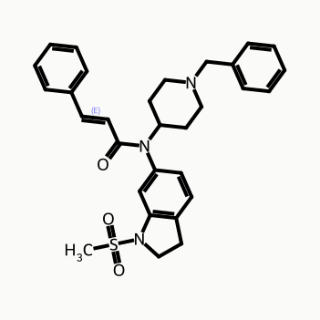 CS(=O)(=O)N1CCc2ccc(N(C(=O)/C=C/c3ccccc3)C3CCN(Cc4ccccc4)CC3)cc21